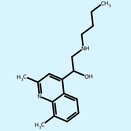 CCCCNCC(O)c1cc(C)nc2c(C)cccc12